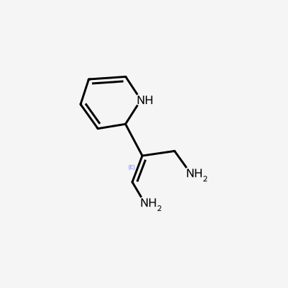 N/C=C(\CN)C1C=CC=CN1